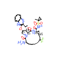 CCc1nc2ccccc2nc1O[C@@H]1C[C@H]2C(=O)N[C@]3(C(=O)NS(=O)(=O)C4(C)CC4)C[C@H]3CC(F)(F)CCCCC[C@H](N)C(=O)N2C1